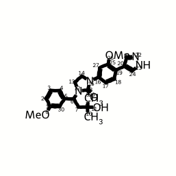 COc1cccc(C(CC(C)(C)O)N2CCN(c3ccc(-c4cn[nH]c4)c(OC)c3)C2=O)c1